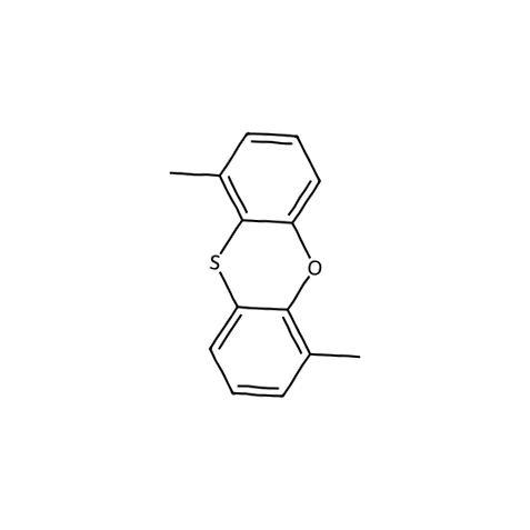 Cc1cccc2c1Oc1cccc(C)c1S2